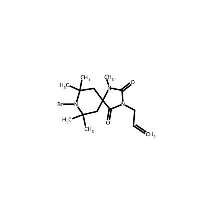 C=CCN1C(=O)N(C)C2(CC(C)(C)N(Br)C(C)(C)C2)C1=O